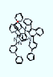 c1ccc(-c2cccc(-c3nc(-c4cccc(-c5ccccc5)c4)nc(-n4c5cc(-c6ccccc6)ccc5c5c6ccccc6c6c(c54)C4(c5ccccc5-c5ccccc54)c4ccccc4-6)n3)c2)cc1